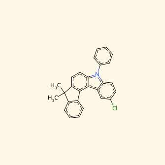 CC1(C)c2ccccc2-c2c1ccc1c2c2cc(Cl)ccc2n1-c1ccccc1